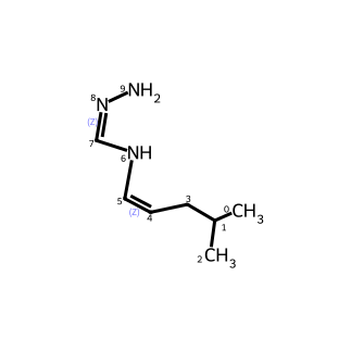 CC(C)C/C=C\N/C=N\N